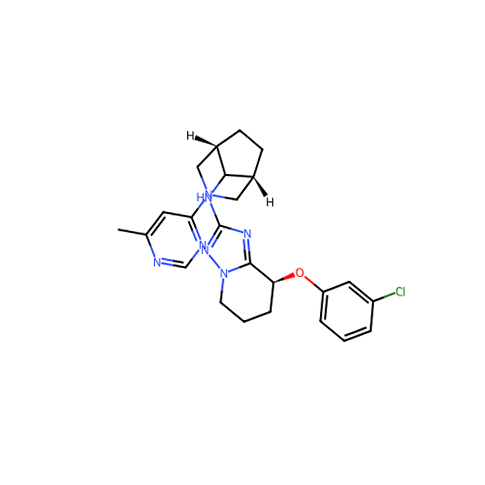 Cc1cc(N2C[C@H]3CC[C@@H](C2)C3Nc2nc3n(n2)CCC[C@@H]3Oc2cccc(Cl)c2)ncn1